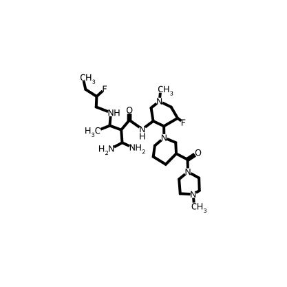 CCC(F)CNC(C)C(C(=O)NC1CN(C)CC(F)C1N1CCCC(C(=O)N2CCN(C)CC2)C1)C(N)N